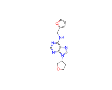 c1coc(CNc2ncnc3c2ncn3C2CCOC2)c1